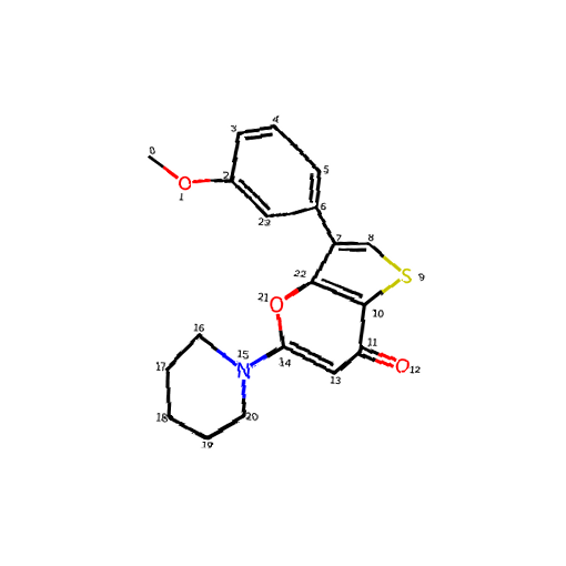 COc1cccc(-c2csc3c(=O)cc(N4CCCCC4)oc23)c1